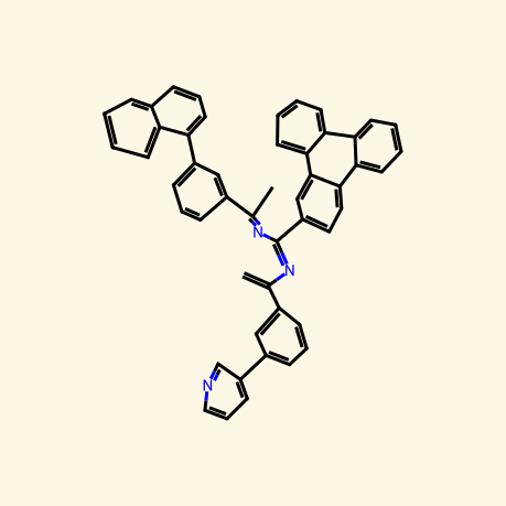 C=C(/N=C(\N=C(/C)c1cccc(-c2cccc3ccccc23)c1)c1ccc2c3ccccc3c3ccccc3c2c1)c1cccc(-c2cccnc2)c1